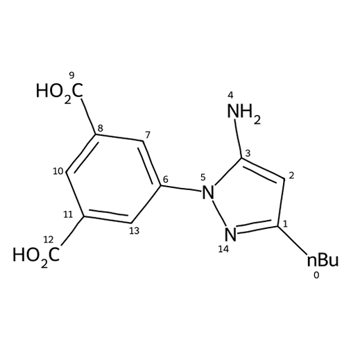 CCCCc1cc(N)n(-c2cc(C(=O)O)cc(C(=O)O)c2)n1